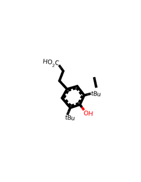 CC.CC(C)(C)c1cc(CCC(=O)O)cc(C(C)(C)C)c1O